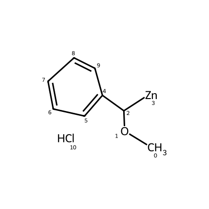 CO[CH]([Zn])c1ccccc1.Cl